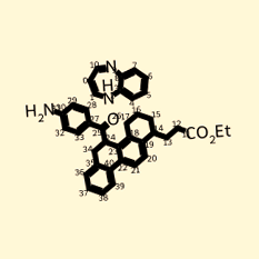 C1=CNc2ccccc2N=C1.CCOC(=O)CCC1CCCc2c1ccc1c2C(C(=O)c2ccc(N)cc2)Cc2ccccc2-1